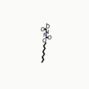 CCCCCCCCOC(=O)/N=N/C(=O)OC